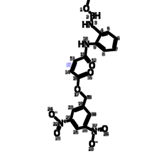 COBNc1ccccc1NC(=O)/C=C\C(=O)OCc1cc([N+](=O)[O-])cc([N+](=O)[O-])c1